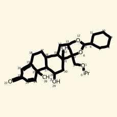 CC(C)OCC12OC(C3CCCCC3)OC1CC1C3CCC4=CC(=O)C=CC4(C)C3C(O)CC12C